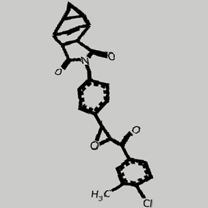 Cc1cc(C(=O)C2OC2c2ccc(N3C(=O)C4C5C=CC(C6CC56)C4C3=O)cc2)ccc1Cl